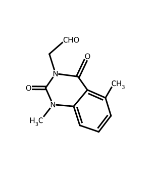 Cc1cccc2c1c(=O)n(CC=O)c(=O)n2C